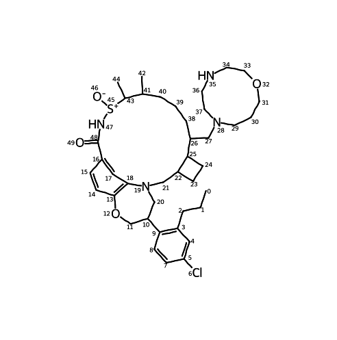 CCCc1cc(Cl)ccc1C1COc2ccc3cc2N(C1)CC1CCC1C(CN1CCCOCCNCC1)CCCC(C)C(C)[S+]([O-])NC3=O